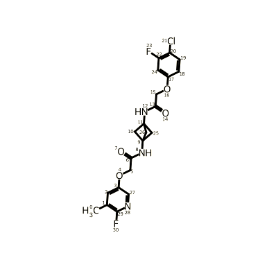 Cc1cc(OCC(=O)NC23CC(NC(=O)COc4ccc(Cl)c(F)c4)(C2)C3)cnc1F